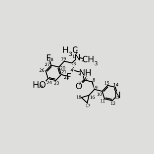 CN(C)[C@H](CNC(=O)C[C@@H](c1ccncc1)C1CC1)Cc1c(F)cc(O)cc1F